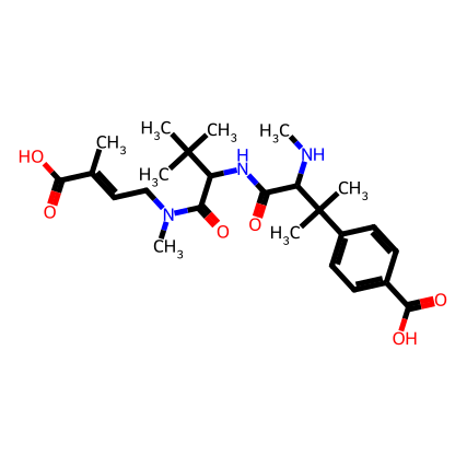 CNC(C(=O)NC(C(=O)N(C)C/C=C(\C)C(=O)O)C(C)(C)C)C(C)(C)c1ccc(C(=O)O)cc1